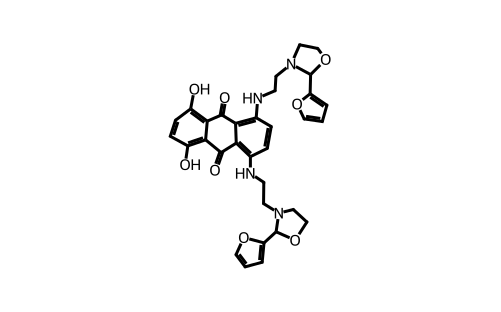 O=C1c2c(O)ccc(O)c2C(=O)c2c(NCCN3CCOC3c3ccco3)ccc(NCCN3CCOC3c3ccco3)c21